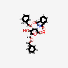 O=C1c2ccccc2C(=O)N1[C@H]1[C@@H](OCc2ccccc2)[C@H](O)[C@@H](COCc2ccccc2)O[C@@H]1O